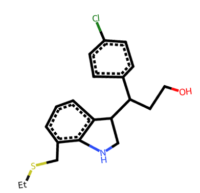 CCSCc1cccc2c1NCC2C(CCO)c1ccc(Cl)cc1